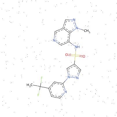 Cn1ncc2cncc(NS(=O)(=O)c3cnn(-c4cc(C(C)(F)F)ccn4)c3)c21